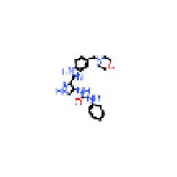 O=C(NC1CCCCC1)NC1CNN=C1c1nc2cc(CN3CCOCC3)ccc2[nH]1